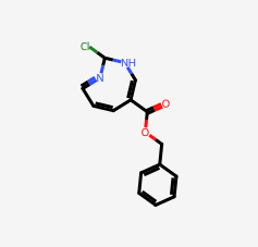 O=C(OCc1ccccc1)C1=C/NC(Cl)/N=C/C=C\1